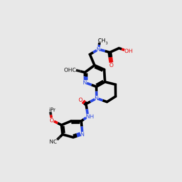 CC(C)Oc1cc(NC(=O)N2CCCc3cc(CN(C)C(=O)CO)c(C=O)nc32)ncc1C#N